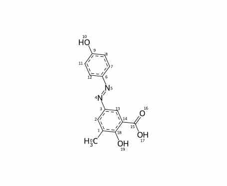 Cc1cc(N=Nc2ccc(O)cc2)cc(C(=O)O)c1O